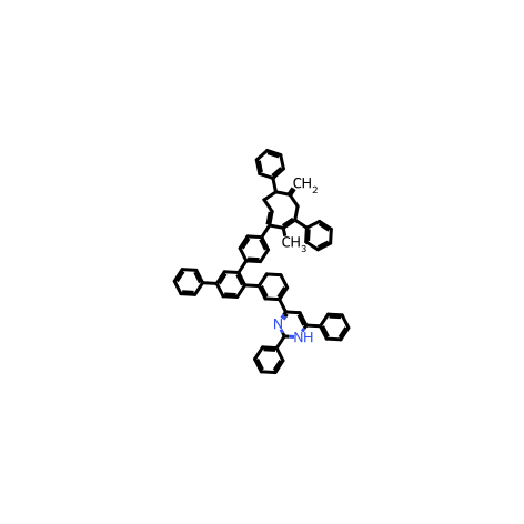 C=C1C/C(c2ccccc2)=C(C)\C(c2ccc(-c3cc(-c4ccccc4)ccc3C3=CC(C4=NC(c5ccccc5)NC(c5ccccc5)=C4)=CCC3)cc2)=C\CC1c1ccccc1